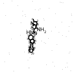 Cc1ccc2c(N)c(C(=O)NC3CCc4cc(N5CC6CCC(C5)N6)ccc4C3)sc2n1